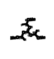 COC(C)OB(OC(C)OC)OC(C)OC